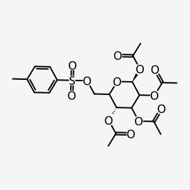 CC(=O)OC1C(OC(C)=O)[C@H](OC(C)=O)C(COS(=O)(=O)c2ccc(C)cc2)O[C@H]1OC(C)=O